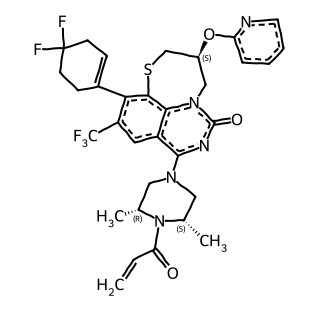 C=CC(=O)N1[C@H](C)CN(c2nc(=O)n3c4c(c(C5=CCC(F)(F)CC5)c(C(F)(F)F)cc24)SC[C@@H](Oc2ccccn2)C3)C[C@@H]1C